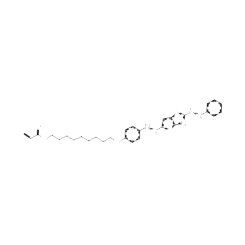 C=CC(=O)OCCCCCCCCCOc1ccc(/N=N/c2cc3sc(/N=N/c4ccccc4)nc3s2)cc1